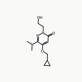 CN(C)c1nn(CCO)c(=O)cc1OCC1CC1